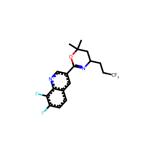 CC1(C)CC(CCC(F)(F)F)N=C(c2cnc3c(F)c(F)ccc3c2)O1